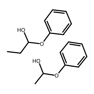 CC(O)Oc1ccccc1.CCC(O)Oc1ccccc1